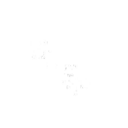 CCC1(C(=O)N[C@@H](Cc2ccc(NC(=O)c3c(Cl)cccc3Cl)cc2)C(=O)O)CC2CCCN2C1=O